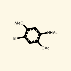 COc1cc(NC(C)=O)c(OC(C)=O)cc1Br